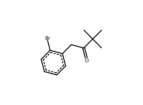 CC(C)(C)C(=O)Cc1ccccc1Br